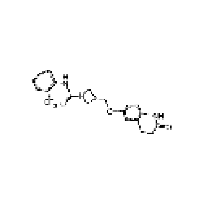 O=C1CCc2cc(OCC3CN(C(=O)Nc4ccccc4C(F)(F)F)C3)ccc2N1